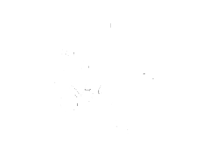 CCOC(C)OCC.OCCC(O)Oc1cccc2ccccc12